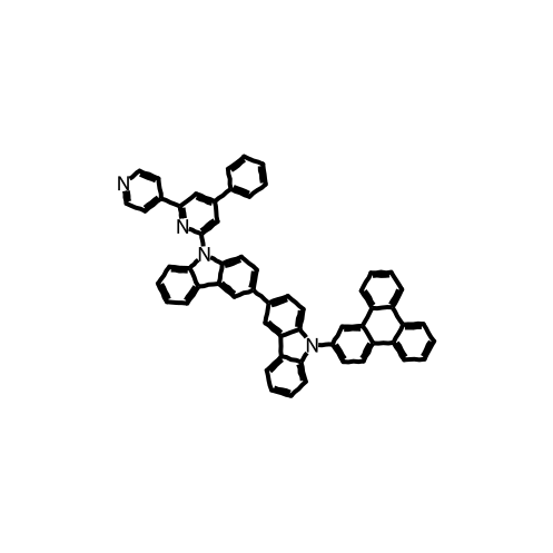 c1ccc(-c2cc(-c3ccncc3)nc(-n3c4ccccc4c4cc(-c5ccc6c(c5)c5ccccc5n6-c5ccc6c7ccccc7c7ccccc7c6c5)ccc43)c2)cc1